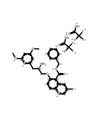 COc1cc(C[C@@H](N)COc2ccc3ncc(F)cc3c2C(=O)OCc2ccccc2)nc(OC)c1.O=C(O)C(F)(F)F.O=C(O)C(F)(F)F